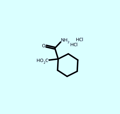 Cl.Cl.NC(=O)C1(C(=O)O)CCCCC1